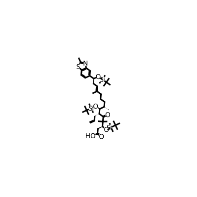 C=CC[C@@H](C(=O)C(C)(C)[C@H](CC(=O)O)O[Si](C)(C)C(C)(C)C)[C@@H](O[Si](C)(C)C(C)(C)C)[C@@H](C)CCC/C(C)=C/C[C@H](O[Si](C)(C)C(C)(C)C)c1ccc2sc(C)nc2c1